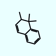 CC1C=Cc2ccccc2C1(C)C